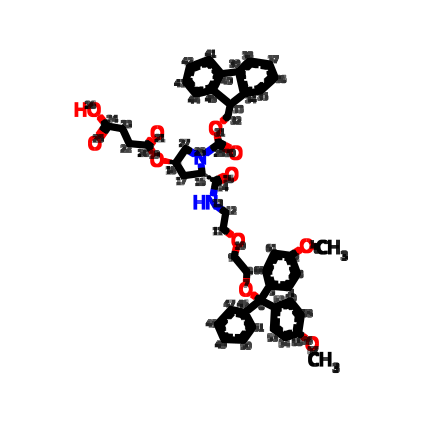 COc1ccc(C(OCCOCCNC(=O)[C@@H]2C[C@@H](OC(=O)CCC(=O)O)CN2C(=O)OCC2c3ccccc3-c3ccccc32)(c2ccccc2)c2ccc(OC)cc2)cc1